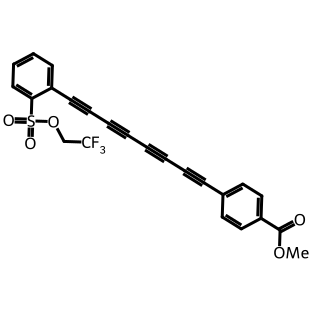 COC(=O)c1ccc(C#CC#CC#CC#Cc2ccccc2S(=O)(=O)OCC(F)(F)F)cc1